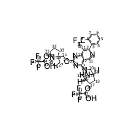 Fc1c(-c2ccccc2C(F)(F)F)ncc2c(N3C[C@H]4CC[C@@H](C3)N4)nc(OCC34CCCN3CCC4)nc12.O=C(O)C(F)(F)F.O=C(O)C(F)(F)F